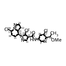 CO[C@@H](C)c1ncc(NC(=O)c2cnn(-c3ccc(Cl)n4nccc34)c2C(F)(F)F)cc1Cl